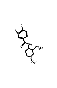 CCOC(=O)C1CN(C(=O)O)CCC1NC(=O)c1ccc(F)c(F)c1